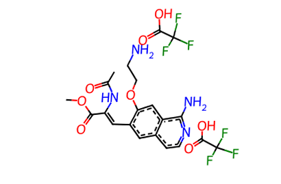 COC(=O)C(=Cc1cc2ccnc(N)c2cc1OCCN)NC(C)=O.O=C(O)C(F)(F)F.O=C(O)C(F)(F)F